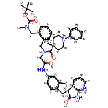 CN(Cc1ccccc1CN(CC(=O)Nc1ccc2c(c1)C[C@@]1(C2)C(=O)Nc2ncccc21)C(=O)C1(C)CCN(c2ccccc2)CC1)C(=O)OC(C)(C)C